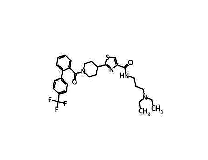 CCN(CC)CCCNC(=O)c1csc(C2CCN(C(=O)c3ccccc3-c3ccc(C(F)(F)F)cc3)CC2)n1